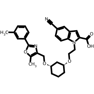 Cc1cccc(-c2nc(CO[C@H]3CCC[C@@H](OCCn4c(C(=O)O)cc5cc(C#N)ccc54)C3)c(C)o2)c1